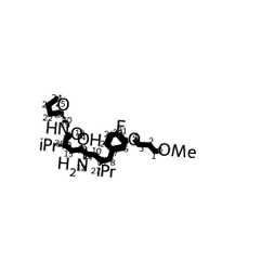 COCCCOc1cc(C[C@@H](C[C@H](N)[C@@H](O)C[C@H](C(=O)NC[C@@H]2CCCO2)C(C)C)C(C)C)ccc1F